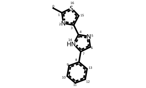 Cc1nc(-c2ncc(-c3ccccc3)[nH]2)cs1